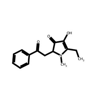 CCC1=C(O)C(=O)C(CC(=O)c2ccccc2)N1C